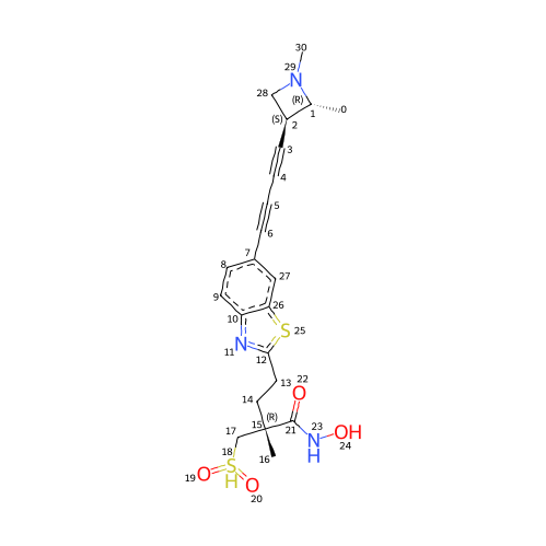 C[C@@H]1[C@@H](C#CC#Cc2ccc3nc(CC[C@@](C)(C[SH](=O)=O)C(=O)NO)sc3c2)CN1C